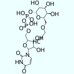 C#CCOC[C@H]1O[C@H](OP(=O)(O)OP(=O)(O)OCC2OC(n3ccc(=O)[nH]c3=O)C(O)C2O)[C@H](O)[C@@H](O)[C@H]1O